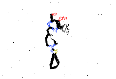 Cc1nc(CC2CCN(c3nc4ccccc4s3)CC2)nc([C]=O)c1O